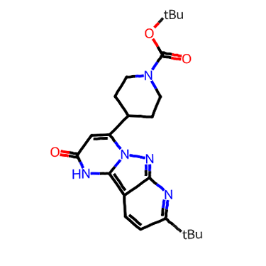 CC(C)(C)OC(=O)N1CCC(c2cc(=O)[nH]c3c4ccc(C(C)(C)C)nc4nn23)CC1